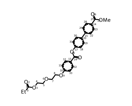 CCC(=O)OCCOCCOc1ccc(C(=O)Oc2ccc(-c3ccc(C(=O)OC)cc3)cc2)cc1